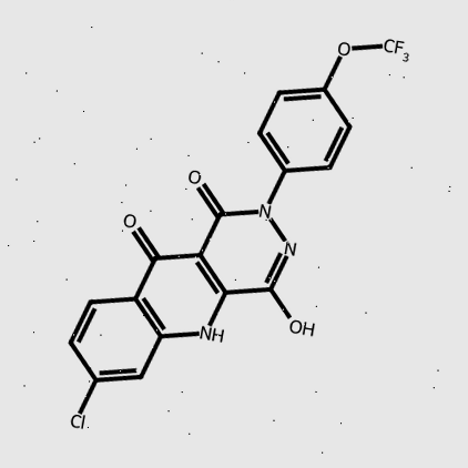 O=c1c2ccc(Cl)cc2[nH]c2c(O)nn(-c3ccc(OC(F)(F)F)cc3)c(=O)c12